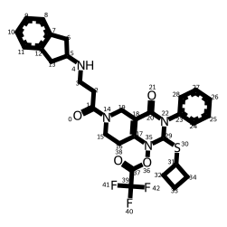 O=C(CCNC1Cc2ccccc2C1)N1CCC2=C(C1)C(=O)N(c1ccccc1)C(SC1CCC1)N2OC(=O)C(F)(F)F